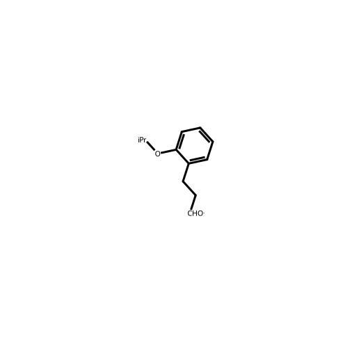 CC(C)Oc1ccccc1CC[C]=O